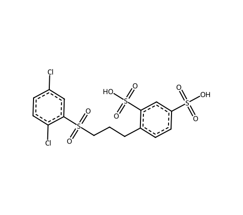 O=S(=O)(O)c1ccc(CCCS(=O)(=O)c2cc(Cl)ccc2Cl)c(S(=O)(=O)O)c1